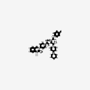 Cc1ccc(OC(=O)N[C@@H](CC(=O)N2CCC(N3Cc4ccccc4NC3=O)CC2)C(=O)N2CCC(N3CCCCC3)CC2)cc1